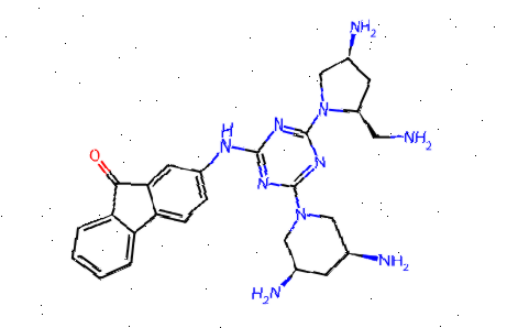 NC[C@@H]1C[C@H](N)CN1c1nc(Nc2ccc3c(c2)C(=O)c2ccccc2-3)nc(N2C[C@H](N)C[C@H](N)C2)n1